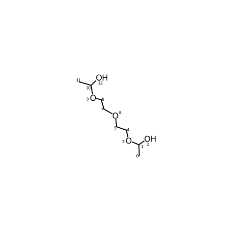 CC(O)OCCOCCOC(C)O